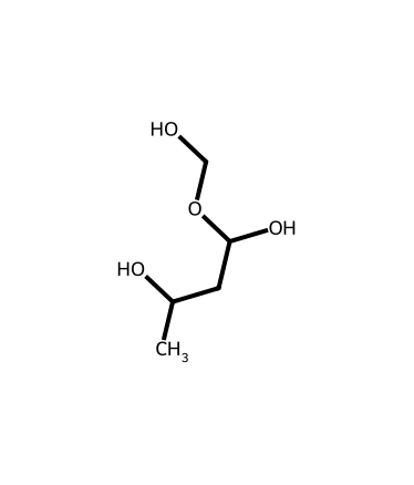 CC(O)CC(O)OCO